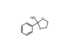 OC1(c2ccccc2)OCCS1